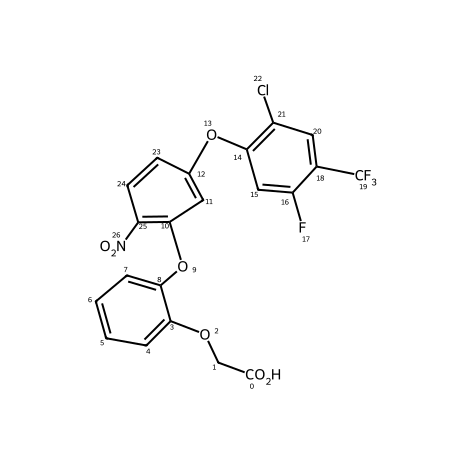 O=C(O)COc1ccccc1Oc1cc(Oc2cc(F)c(C(F)(F)F)cc2Cl)ccc1[N+](=O)[O-]